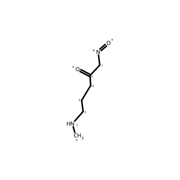 CNCCCC(=O)CN=O